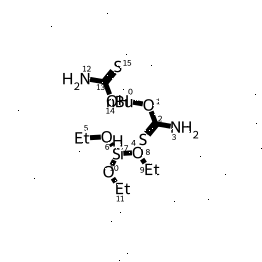 CCCCOC(N)=S.CCO[SiH](OCC)OCC.NC(O)=S